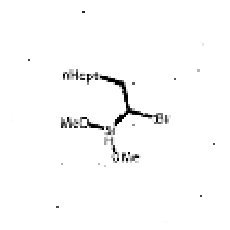 CCCCCCCCC([SiH](OC)OC)C(C)(C)C